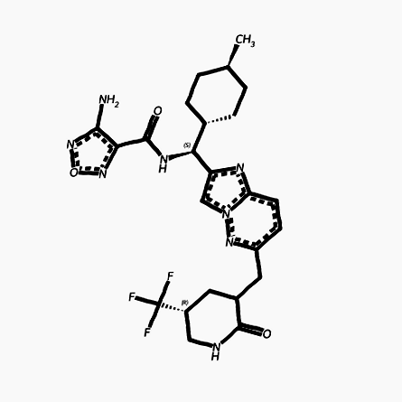 C[C@H]1CC[C@H]([C@H](NC(=O)c2nonc2N)c2cn3nc(CC4C[C@@H](C(F)(F)F)CNC4=O)ccc3n2)CC1